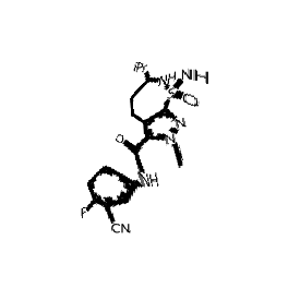 CC(C)C1CCc2c(nn(C)c2C(=O)Nc2ccc(F)c(C#N)c2)S(=N)(=O)N1